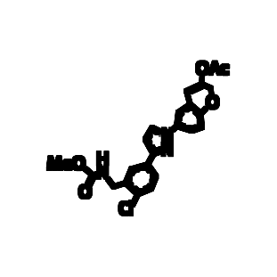 COC(=O)NCc1cc(-c2ccn(-c3ccc4c(c3)C=C(OC(C)=O)CO4)n2)ccc1Cl